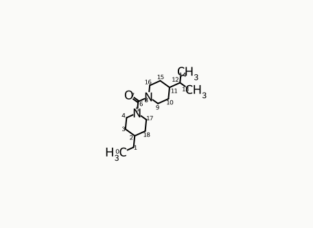 CCC1CCN(C(=O)N2CCC(C(C)C)CC2)CC1